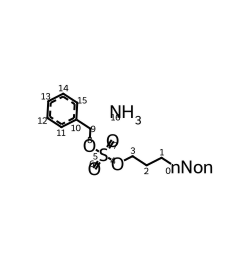 CCCCCCCCCCCCOS(=O)(=O)OCc1ccccc1.N